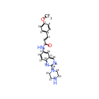 O=C(/C=C/c1ccc(OC(F)(F)F)cc1)Nc1ccc2nc(N3CCNCC3)ncc2c1